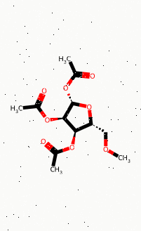 COC[C@H]1O[C@@H](OC(C)=O)[C@H](OC(C)=O)[C@@H]1OC(C)=O